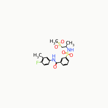 Cc1cc(NC(=O)c2cccc(S(=O)(=O)N[C@H](C)CS(C)(=O)=O)c2)ccc1F